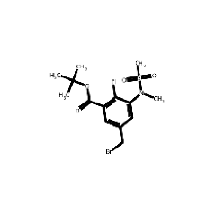 CN(c1cc(CBr)cc(C(=O)OC(C)(C)C)c1Cl)S(C)(=O)=O